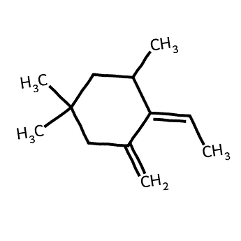 C=C1CC(C)(C)CC(C)/C1=C/C